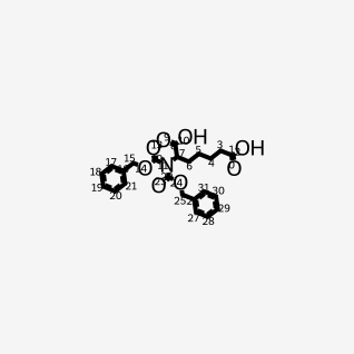 O=C(O)CCCCC(C(=O)O)N(C(=O)OCc1ccccc1)C(=O)OCc1ccccc1